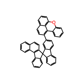 c1ccc2c(c1)Oc1cccc3ccc(-c4ccc5c(c4)C4(c6ccccc6-5)c5ccccc5-c5c4ccc4ccccc54)c-2c13